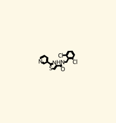 O=C(NCc1c(Cl)cccc1Cl)c1csc(-c2cccnc2)n1